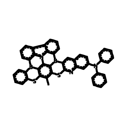 Cc1c2c3c4c5c1Sc1nc6cc(N(c7ccccc7)c7ccccc7)ccc6cc1B5c1cccc5c6cccc(c6n-4c15)B3c1ccccc1S2